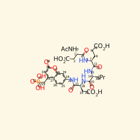 CC(=O)N[C@@H](CC(=O)O)C(=O)N[C@@H](CCC(=O)O)C(=O)N[C@H](C(=O)N[C@@H](CC(=O)O)C(=O)Nc1ccc2c(CP(=O)(O)O)cc(=O)oc2c1)C(C)C